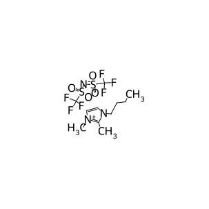 CCCCn1cc[n+](C)c1C.O=S(=O)([N-]S(=O)(=O)C(F)(F)F)C(F)(F)F